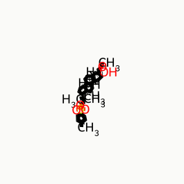 COC[C@@]1(O)CC[C@H]2[C@H](CC[C@@H]3[C@@H]2CC[C@]2(C)[C@@H](C(C)(C)COS(=O)(=O)c4ccc(C)cc4)CC[C@@H]32)C1